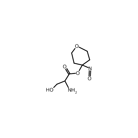 NC(CO)C(=O)OC1(N=O)CCOCC1